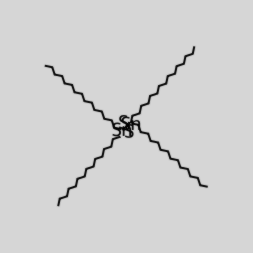 CCCCCCCCCCCCCC[CH2][Sn]1([CH2]CCCCCCCCCCCCCC)[S][Sn]([CH2]CCCCCCCCCCCCCC)([CH2]CCCCCCCCCCCCCC)[S]1